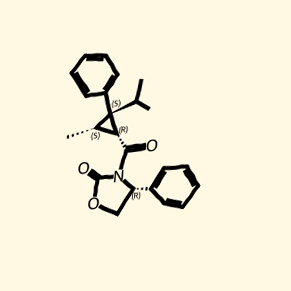 CC(C)[C@@]1(c2ccccc2)[C@H](C(=O)N2C(=O)OC[C@H]2c2ccccc2)[C@@H]1C